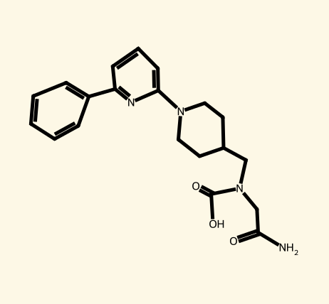 NC(=O)CN(CC1CCN(c2cccc(-c3ccccc3)n2)CC1)C(=O)O